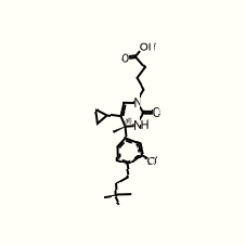 CC(C)(C)CCc1ccc([C@@]2(C)NC(=O)N(CCCC(=O)O)C=C2C2CC2)cc1Cl